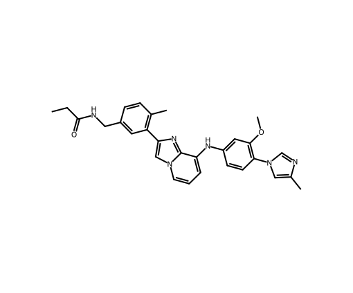 CCC(=O)NCc1ccc(C)c(-c2cn3cccc(Nc4ccc(-n5cnc(C)c5)c(OC)c4)c3n2)c1